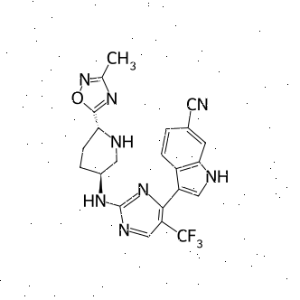 Cc1noc([C@H]2CC[C@H](Nc3ncc(C(F)(F)F)c(-c4c[nH]c5cc(C#N)ccc45)n3)CN2)n1